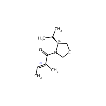 C/C=C(\C)C(=O)N1COC[C@@H]1C(C)C